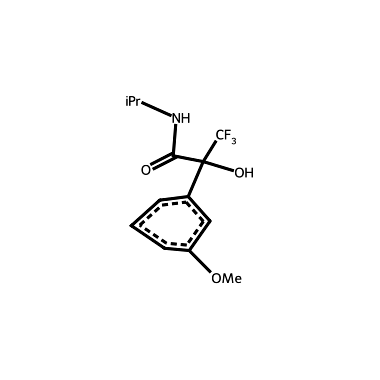 COc1cccc(C(O)(C(=O)NC(C)C)C(F)(F)F)c1